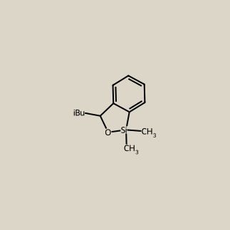 CCC(C)C1O[Si](C)(C)c2ccccc21